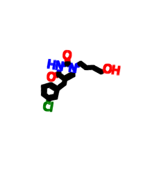 O=c1[nH]c(=O)n(CCCCO)cc1Cc1cccc(Cl)c1